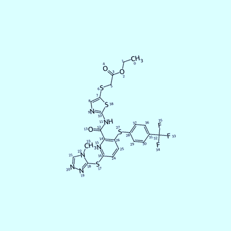 CCOC(=O)CSc1cnc(NC(=O)c2nc(Sc3nncn3C)ccc2Sc2ccc(C(F)(F)F)cc2)s1